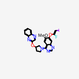 COc1cc2c(N3CCC(Oc4cnc5ccccc5n4)C3)ncnc2cc1O/C(F)=C/I